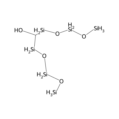 OC([SiH2]O[SiH2]O[SiH3])[SiH2]O[SiH2]O[SiH3]